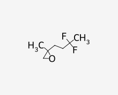 CC(F)(F)CCC1(C)CO1